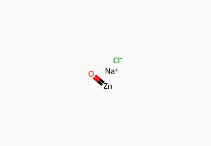 [Cl-].[Na+].[O]=[Zn]